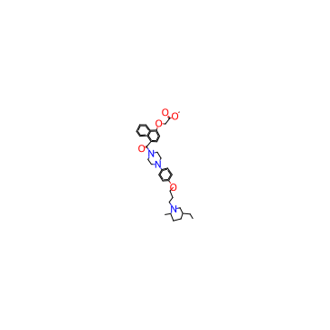 CCC1CCC(C)N(CCCOc2ccc(N3CCN(C(=O)c4ccc(OCC(=O)OC)c5ccccc45)CC3)cc2)C1